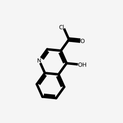 O=C(Cl)c1cnc2ccccc2c1O